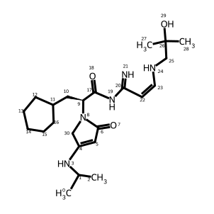 CC(C)NC1=CC(=O)N([C@@H](CC2CCCCC2)C(=O)NC(=N)/C=C\NCC(C)(C)O)C1